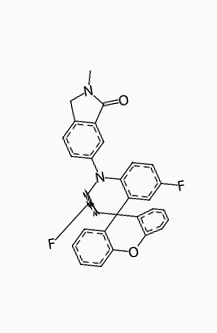 CN1Cc2ccc(N3c4ccc(F)cc4C4(c5ccccc5Oc5ccccc54)c4cc(F)ccc43)cc2C1=O